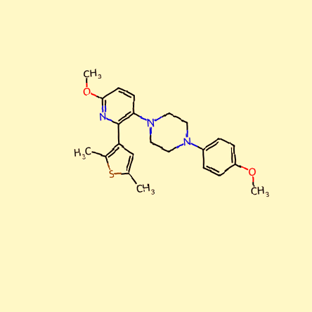 COc1ccc(N2CCN(c3ccc(OC)nc3-c3cc(C)sc3C)CC2)cc1